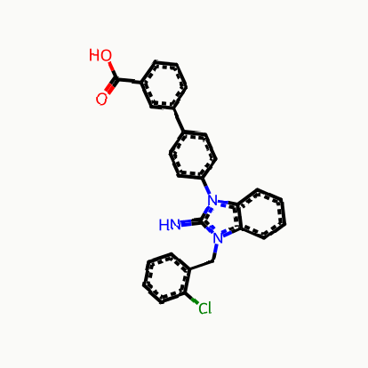 N=c1n(Cc2ccccc2Cl)c2ccccc2n1-c1ccc(-c2cccc(C(=O)O)c2)cc1